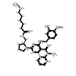 COc1ccc(CNc2nc(N3CCC[C@H]3COC(=O)CCCCCO[N+](=O)[O-])ncc2C(=O)N(C)c2ncccn2)cc1Cl